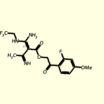 COc1ccc(C(=O)COC(=O)/C(C(C)=N)=C(\N)NCC(F)(F)F)c(F)c1